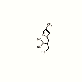 N#CC(C#N)C(Cn1cc(C(F)(F)F)cn1)CC(F)(F)F